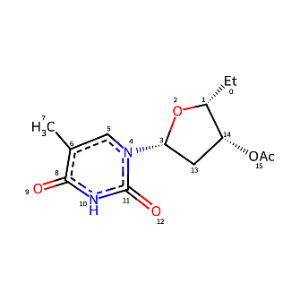 CC[C@H]1O[C@@H](n2cc(C)c(=O)[nH]c2=O)C[C@H]1OC(C)=O